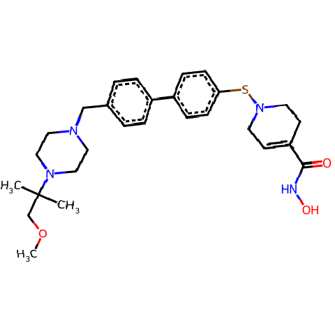 COCC(C)(C)N1CCN(Cc2ccc(-c3ccc(SN4CC=C(C(=O)NO)CC4)cc3)cc2)CC1